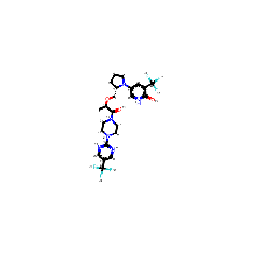 CC(OC[C@@H]1CCCN1c1c[nH]c(=O)c(C(F)(F)F)c1)C(=O)N1CCN(c2ncc(C(F)(F)F)cn2)CC1